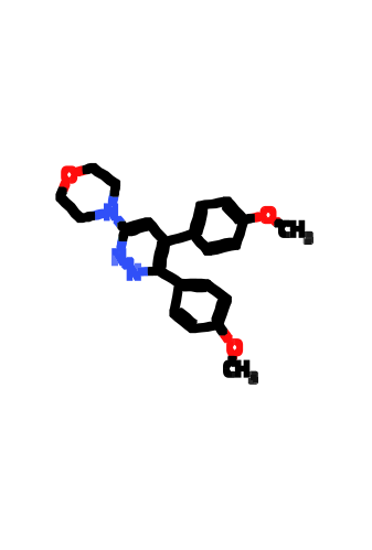 COc1ccc(-c2cc(N3CCOCC3)nnc2-c2ccc(OC)cc2)cc1